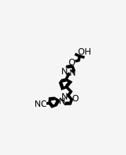 CC(C)(O)COc1cnc(-c2cccc(Cc3nn(-c4ccc(C#N)cc4)ccc3=O)c2)nc1